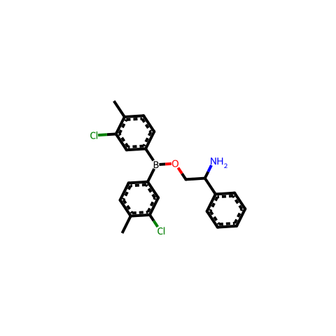 Cc1ccc(B(OCC(N)c2ccccc2)c2ccc(C)c(Cl)c2)cc1Cl